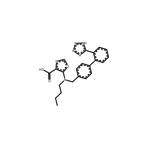 CCCCN(Cc1ccc(-c2ccccc2-c2nnn[nH]2)cc1)c1scnc1C(=O)O